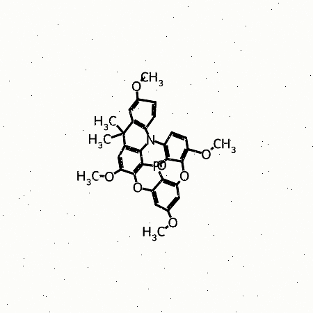 COc1cc2c3c(c1)Oc1c(OC)cc4c5c1P3(=O)c1c(ccc(OC)c1O2)N5c1ccc(OC)cc1C4(C)C